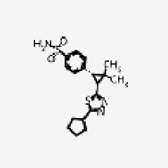 CC1(C)[C@@H](c2ccc(S(N)(=O)=O)cc2)[C@@H]1c1nnc(C2CCCC2)s1